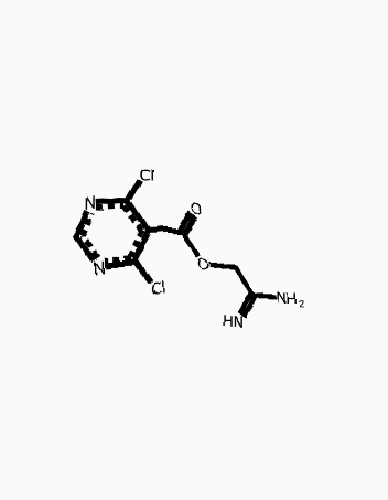 N=C(N)COC(=O)c1c(Cl)ncnc1Cl